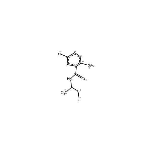 CCOC(NC(=O)c1cc(Cl)ccc1OC(C)=O)C(Cl)(Cl)Cl